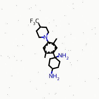 Cc1cc(C2(N)CCC(N)CC2)c(C)cc1N1CCC(C(F)(F)F)CC1